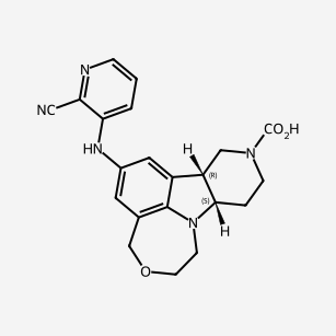 N#Cc1ncccc1Nc1cc2c3c(c1)[C@@H]1CN(C(=O)O)CC[C@@H]1N3CCOC2